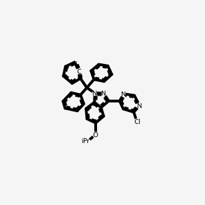 CC(C)Oc1ccc2c(c1)c(-c1cc(Cl)ncn1)nn2C(c1ccccc1)(c1ccccc1)c1ccccc1